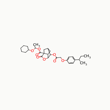 CCC(C)c1ccc(OCC(=O)OC2C3CC4C2OC(=O)C4(C(=O)OC(C)OC2CCCCC2)C3)cc1